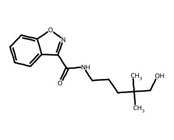 CC(C)(CO)CCCNC(=O)c1noc2ccccc12